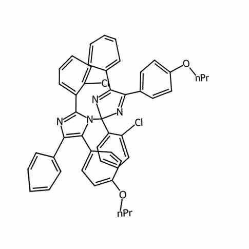 CCCOc1ccc(C2=NC(c3ccccc3Cl)(n3c(-c4ccccc4Cl)nc(-c4ccccc4)c3-c3ccc(OCCC)cc3)N=C2c2ccccc2)cc1